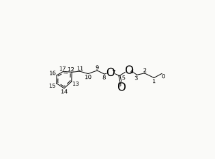 CCCCOC(=O)OCCCCc1ccccc1